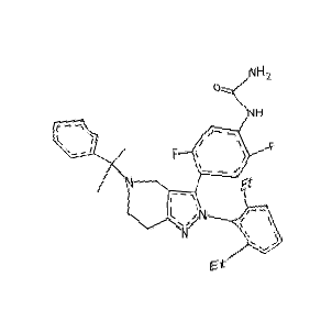 CCc1cccc(CC)c1-n1nc2c(c1-c1cc(F)c(NC(N)=O)cc1F)CN(C(C)(C)c1ccccc1)CC2